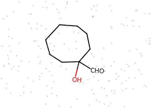 O=[C]C1(O)CCCCCCC1